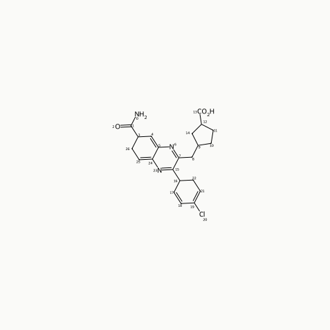 NC(=O)C1C=c2nc(CC3CCC(C(=O)O)C3)c(C3C=CC(Cl)=CC3)nc2=CC1